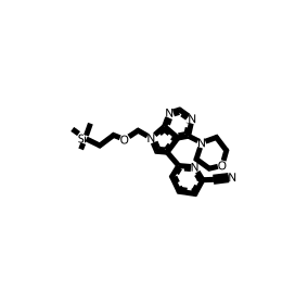 C[Si](C)(C)CCOCn1cc(-c2cccc(C#N)n2)c2c(N3CCOCC3)ncnc21